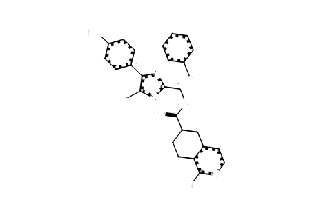 N#Cc1ccc(-c2nc([C@H](Cc3ccccc3)NC(=O)C3CCc4c(ccnc4N)C3)[nH]c2Cl)cc1